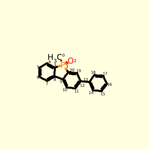 CP1(=O)c2ccccc2-c2ccc(-c3ccccc3)cc21